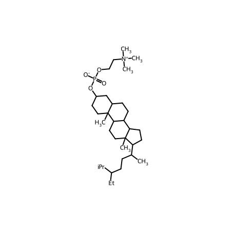 CCC(CCC(C)C1CCC2C3CCC4CC(OP(=O)([O-])OCC[N+](C)(C)C)CCC4(C)C3CCC12C)C(C)C